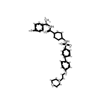 C[C@@H](NC(=O)C1CCC(NS(=O)(=O)c2ccc(-c3ccc(OCCN4CCOCC4)cc3)cc2)CC1)c1ccc(F)cc1